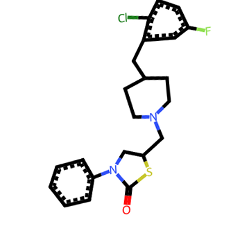 O=C1SC(CN2CCC(Cc3cc(F)ccc3Cl)CC2)CN1c1ccccc1